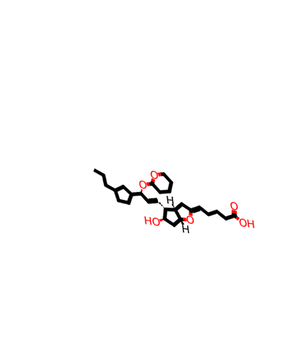 CCCC1CCC([C@@H](/C=C/[C@@H]2[C@H]3C/C(=C/CCCC(=O)O)O[C@@H]3C[C@H]2O)OC2CCCCO2)C1